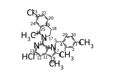 Cc1ccc(Cn2c(C)c(C)c3ccnc(N4CCc5ccc(Cl)cc5C4C)c32)cc1.Cl